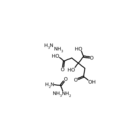 N.N.N.NC(N)=O.O=C(O)CC(O)(CC(=O)O)C(=O)O